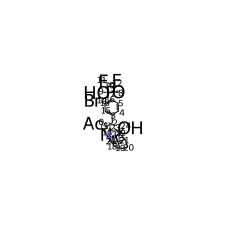 CC(=O)[C@H](Cc1ccc(P(=O)(O)C(F)F)c(Br)c1)/N=C1/CC2CC(C1(C)O)C2(C)C